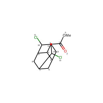 COC(=O)CC1C2CC3CC1C(Cl)C(C2)C3Cl